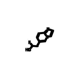 OC(F)[CH]c1ccc2nccn2c1